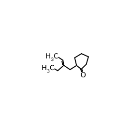 CC=C(CC)CC1CCCCC1=O